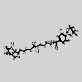 CC1(C)OB(c2c(F)cc(C(=O)NCCCCNC(=O)CCCCC3SCC4NC(=O)NC43)cc2F)OC1(C)C